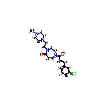 CC(=O)N1CCN(CCN2CCN(C(=O)C=Cc3cccc(Cl)c3)CCC2=O)CC1